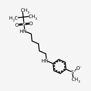 C[S+]([O-])c1ccc(NCCCCCNS(=O)(=O)C(C)(C)C)cc1